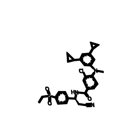 CCS(=O)(=O)c1ccc([C@H](CC#N)NC(=O)c2ccc(N(C)c3cc(C4CC4)cc(C4CC4)c3)c(Cl)c2)cc1